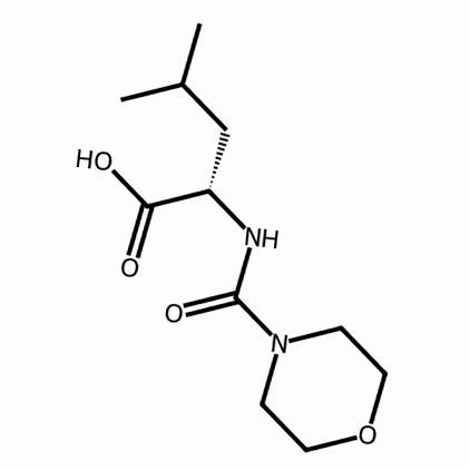 CC(C)C[C@H](NC(=O)N1CCOCC1)C(=O)O